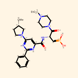 CCOC(=O)N1CCN(C(=O)[C@H](/C=[P+](\[O-])O)NC(=O)c2cc(N3CC[C@H](OC)C3)nc(-c3ccccc3)n2)CC1